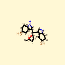 Cc1ccc(C(c2c[nH]c3ccc(S)cc23)c2c[nH]c3ccc(S)cc23)o1